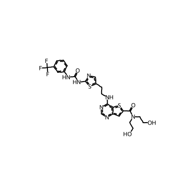 O=C(Nc1cccc(C(F)(F)F)c1)Nc1ncc(CCNc2ncnc3cc(C(=O)N(CCO)CCO)sc23)s1